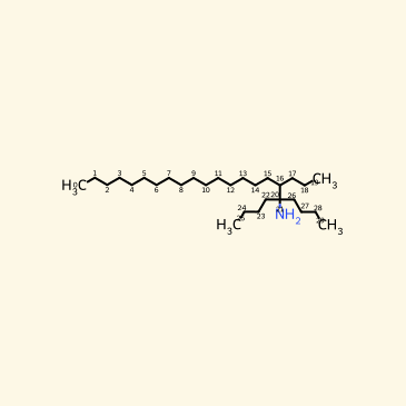 CCCCCCCCCCCCCCCCC(CCC)C(N)(CCCC)CCCC